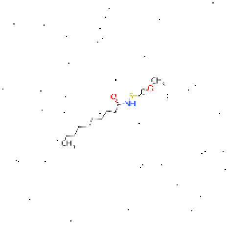 CCCCCCCCCC(=O)NSCCOC